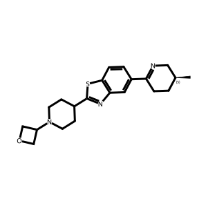 C[C@H]1CCC(c2ccc3sc(C4CCN(C5COC5)CC4)nc3c2)=NC1